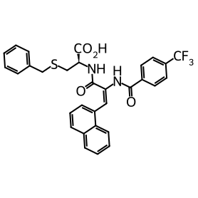 O=C(N[C@@H](CSCc1ccccc1)C(=O)O)/C(=C\c1cccc2ccccc12)NC(=O)c1ccc(C(F)(F)F)cc1